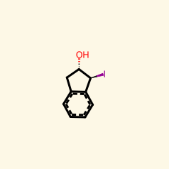 O[C@H]1Cc2ccccc2[C@@H]1I